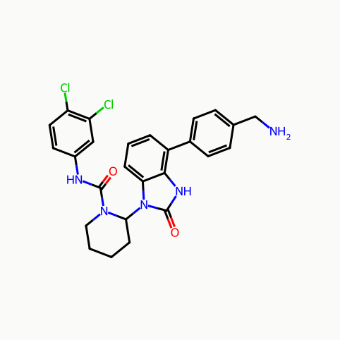 NCc1ccc(-c2cccc3c2[nH]c(=O)n3C2CCCCN2C(=O)Nc2ccc(Cl)c(Cl)c2)cc1